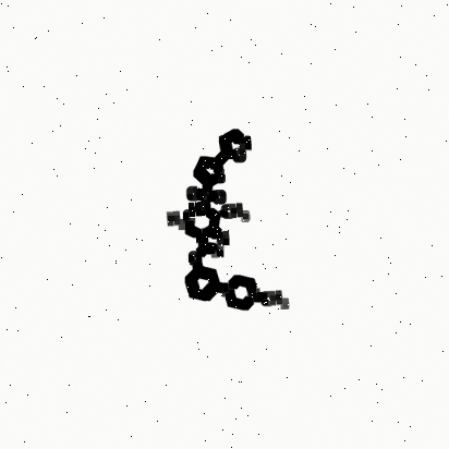 CCn1c(Oc2cccc(N3CCN(C)CC3)c2)nnc1[C@@H](C)NS(=O)(=O)c1ccc(-c2ccno2)s1